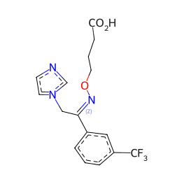 O=C(O)CCCO/N=C(\Cn1ccnc1)c1cccc(C(F)(F)F)c1